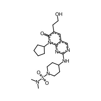 CN(C)S(=O)(=O)N1CCC(Nc2ncc3cc(CCO)c(=O)n(C4CCCC4)c3n2)CC1